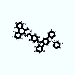 c1ccc(-n2c3ccccc3c3cc4c(cc32)c2ccccc2n4-c2ccc(-c3ncc4c5ccccc5c5ccccc5c4n3)cc2)cc1